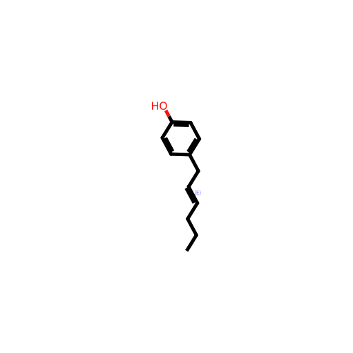 CCC/C=C/Cc1ccc(O)cc1